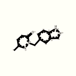 Cc1ccc(=O)n(Cc2ccc3[nH]ncc3c2)n1